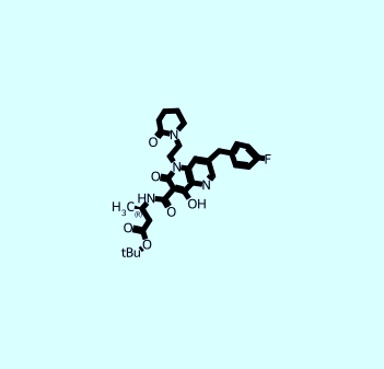 C[C@H](CC(=O)OC(C)(C)C)NC(=O)c1c(O)c2ncc(Cc3ccc(F)cc3)cc2n(CCN2CCCCC2=O)c1=O